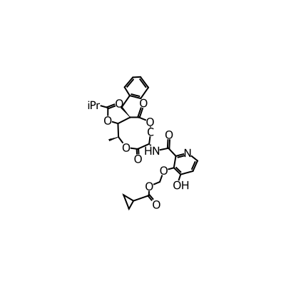 CC(C)C(=O)OC1[C@H](C)OC(=O)[C@@H](NC(=O)c2nccc(O)c2OCOC(=O)C2CC2)COC(=O)[C@@H]1Cc1ccccc1